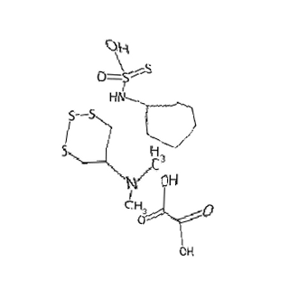 CN(C)C1CSSSC1.O=C(O)C(=O)O.O=S(O)(=S)NC1CCCCC1